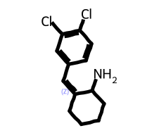 NC1CCCC/C1=C/c1ccc(Cl)c(Cl)c1